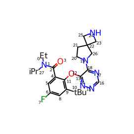 CCN(C(=O)c1cc(F)cc(C(C)(C)C)c1Oc1nncnc1N1CCC2(CNC2)C1)C(C)C